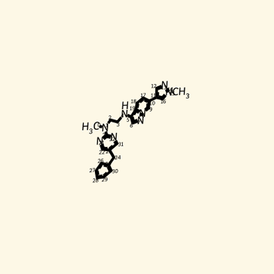 CN(CCNc1cnn2cc(-c3cnn(C)c3)ccc12)c1ncc(Cc2ccccc2)cn1